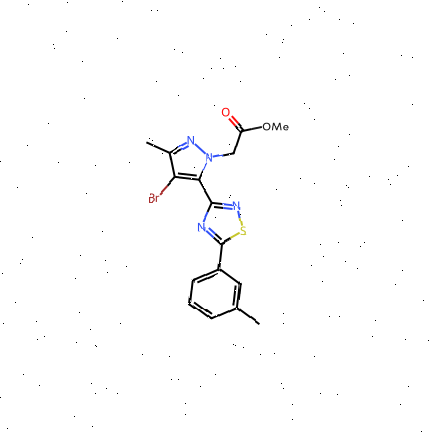 COC(=O)Cn1nc(C)c(Br)c1-c1nsc(-c2cccc(C)c2)n1